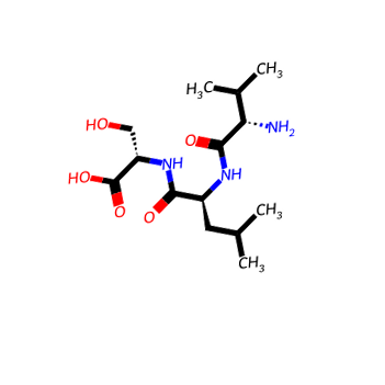 CC(C)C[C@H](NC(=O)[C@@H](N)C(C)C)C(=O)N[C@@H](CO)C(=O)O